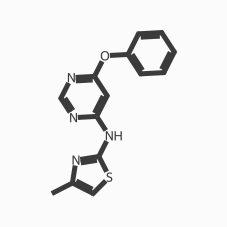 Cc1csc(Nc2cc(Oc3ccccc3)ncn2)n1